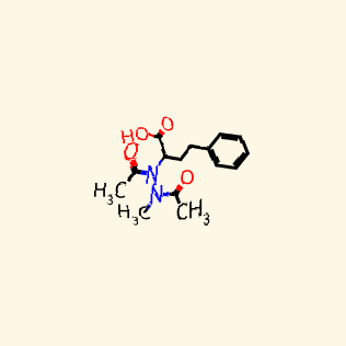 CC(=O)N(C)N(C(C)=O)C(CCc1ccccc1)C(=O)O